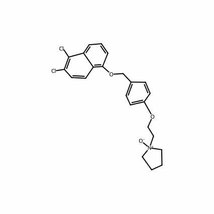 [O-][N+]1(CCOc2ccc(COc3cccc4c(Cl)c(Cl)ccc34)cc2)CCCC1